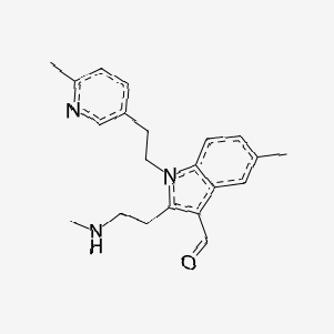 CNCCc1c(C=O)c2cc(C)ccc2n1CCc1ccc(C)nc1